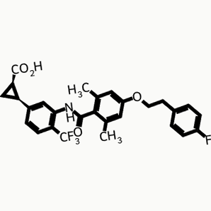 Cc1cc(OCCc2ccc(F)cc2)cc(C)c1C(=O)Nc1cc([C@H]2C[C@H]2C(=O)O)ccc1C(F)(F)F